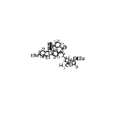 CC(C)(C)OC(=O)N1CC(CCN(C(=O)c2cccc(S(=O)(=O)NC(=O)c3ccc(C(C)(C)C)nc3Cl)c2)c2ccccc2)CC1(C)C